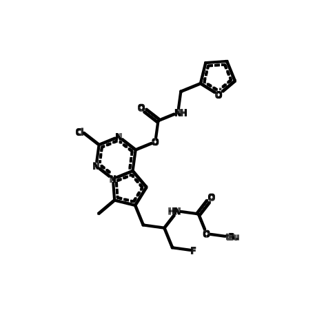 Cc1c(CC(CF)NC(=O)OC(C)(C)C)cc2c(OC(=O)NCc3ccco3)nc(Cl)nn12